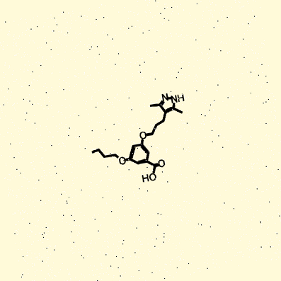 CCCCOc1cc(OCCCc2c(C)n[nH]c2C)cc(C(=O)O)c1